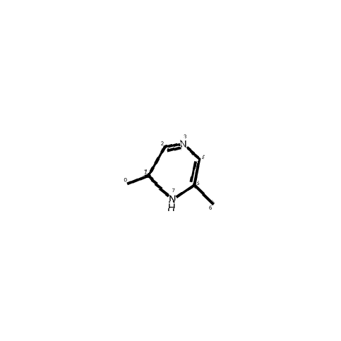 C[C]1C=NC=C(C)N1